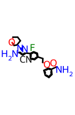 N#Cc1c(-c2ccc(CCOc3ccccc3C(N)=O)cc2F)nn(C2CCCOC2)c1N